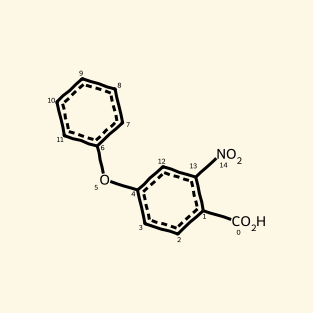 O=C(O)c1ccc(Oc2ccccc2)cc1[N+](=O)[O-]